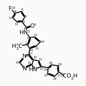 Cc1c(NC(=O)c2ccc(F)cc2)cccc1-c1ncnc2[nH]c(-c3ccc(C(=O)O)cc3)cc12